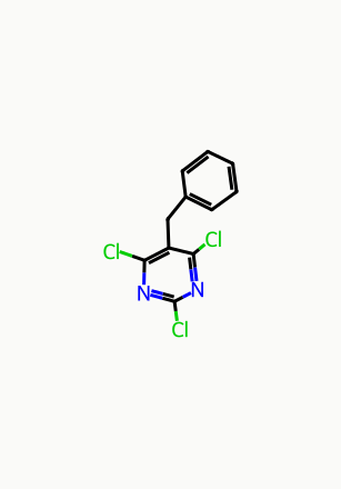 Clc1nc(Cl)c(Cc2ccccc2)c(Cl)n1